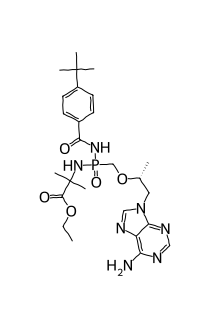 CCOC(=O)C(C)(C)NP(=O)(CO[C@H](C)Cn1cnc2c(N)ncnc21)NC(=O)c1ccc(C(C)(C)C)cc1